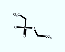 O=P(Cl)(CC(Cl)(Cl)Cl)OCC(Cl)(Cl)Cl